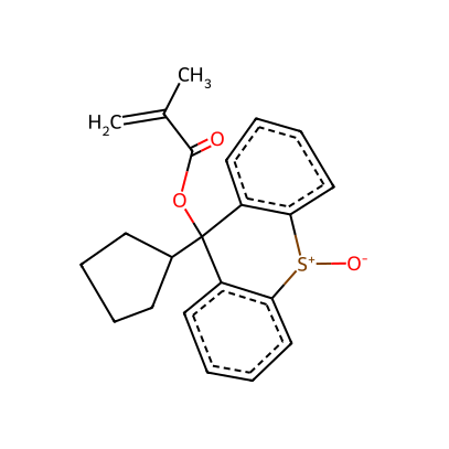 C=C(C)C(=O)OC1(C2CCCC2)c2ccccc2[S+]([O-])c2ccccc21